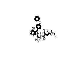 CC(C)/C=C(\C#N)C(=O)N[C@H](C)Cn1nc(-c2ccc(Oc3ccccc3)cc2F)c2c(N)ncnc21